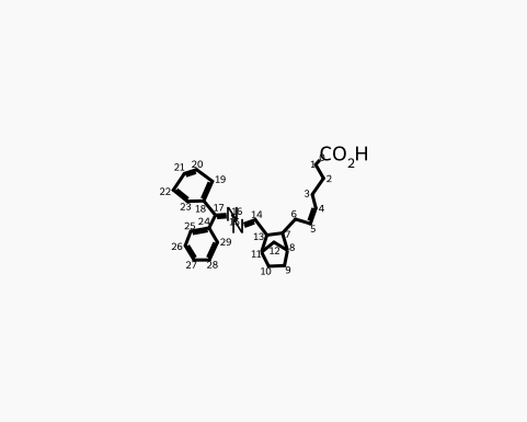 O=C(O)CCC/C=C\CC1C2CCC(C2)C1C=NN=C(c1ccccc1)c1ccccc1